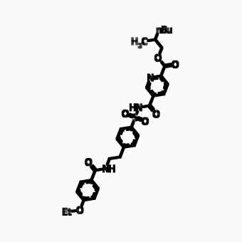 CCCCC(C)COC(=O)c1ccc(C(=O)NS(=O)(=O)c2ccc(CCNC(=O)c3ccc(OCC)cc3)cc2)cn1